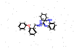 c1ccc(Oc2ccccc2CNNC2=Nc3ccccc3NC23CCCCC3)cc1